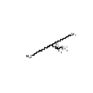 CCCCCCCCCCCCCCCCC(CCCCCCCCCCCCCCC)CNCC(C)(C)CCC(C)C